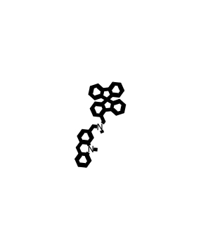 CN(Cc1ccc2c(c1)N(C)c1ccccc1C2)Cc1cccc2c1-c1ccccc1C21c2ccccc2-c2ccccc21